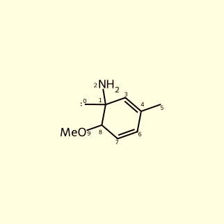 [CH]C1(N)C=C(C)C=CC1OC